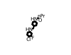 CCCC(=O)Nc1ccc(CNc2ccc(Cl)c(F)c2)cc1